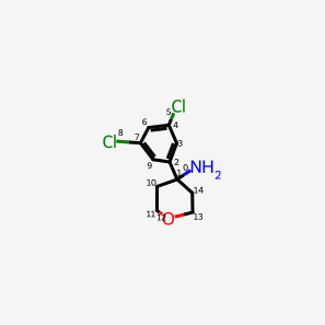 NC1(c2cc(Cl)cc(Cl)c2)CCOCC1